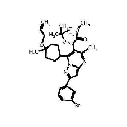 C=CCOC1(C)CCC(c2c([C@H](OC(C)(C)C)C(=O)OC)c(C)nc3cc(-c4cccc(Br)c4)nn23)CC1